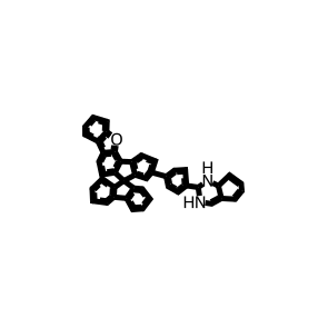 C1=CC2=CNC(c3ccc(-c4ccc5c(c4)C4(c6ccccc6-c6ccccc64)c4ccc6c(oc7ccccc76)c4-5)cc3)NC2C=C1